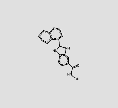 O=C(NO)c1ccc2c(c1)NC(c1cccc3ccccc13)N2